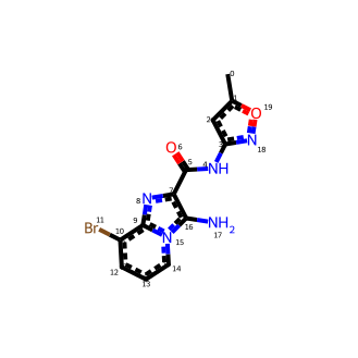 Cc1cc(NC(=O)c2nc3c(Br)cccn3c2N)no1